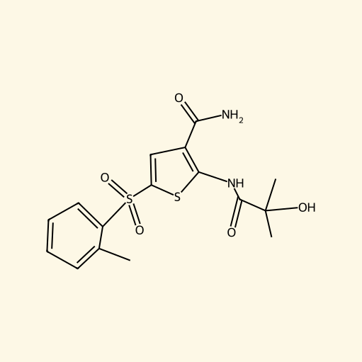 Cc1ccccc1S(=O)(=O)c1cc(C(N)=O)c(NC(=O)C(C)(C)O)s1